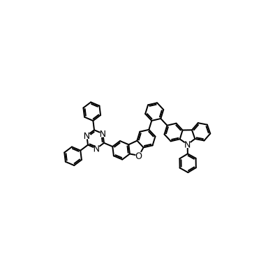 c1ccc(-c2nc(-c3ccccc3)nc(-c3ccc4oc5ccc(-c6ccccc6-c6ccc7c(c6)c6ccccc6n7-c6ccccc6)cc5c4c3)n2)cc1